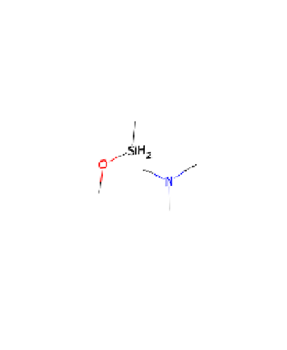 CN(C)C.CO[SiH2]C